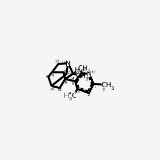 Cc1cc(C)c(C23CC4CC(CN(C4)[C@@H]2C)C3)c(C)n1